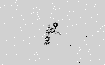 C[C@@H]1CN(Cc2ccc(F)cc2)[C@@H](C)CN1C(=O)COc1ccc([N+](=O)[O-])cc1F